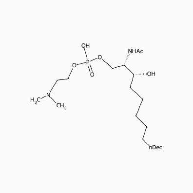 CCCCCCCCCCCCCCC[C@@H](O)[C@H](COP(=O)(O)OCCN(C)C)NC(C)=O